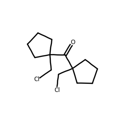 O=C(C1(CCl)CCCC1)C1(CCl)CCCC1